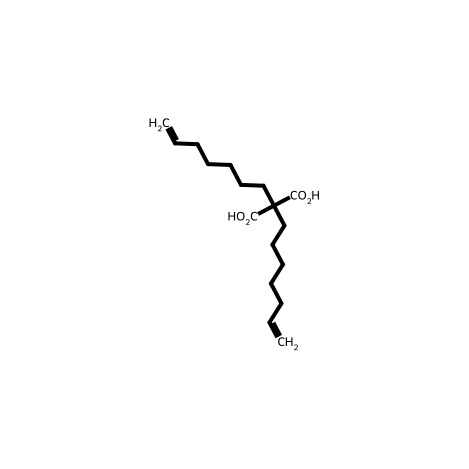 C=CCCCCCC(CCCCCC=C)(C(=O)O)C(=O)O